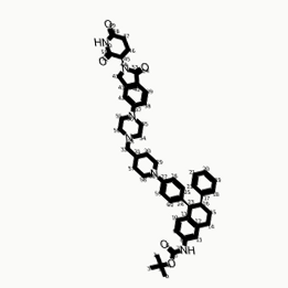 CC(C)(C)OC(=O)Nc1ccc2c(c1)CC[C@H](c1ccccc1)[C@@H]2c1ccc(N2CCC(CN3CCN(c4ccc5c(c4)CN([C@H]4CCC(=O)NC4=O)C5=O)CC3)CC2)cc1